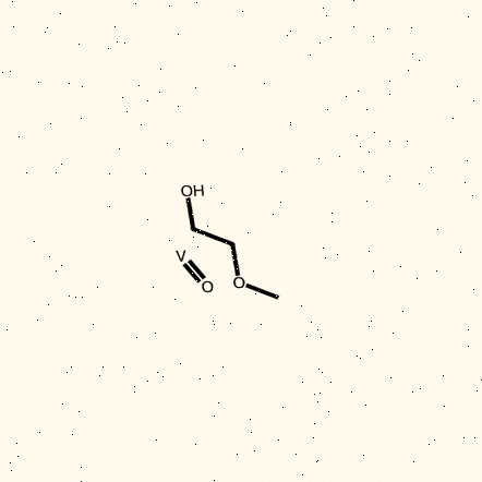 COCCO.[O]=[V]